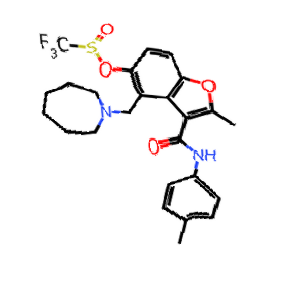 Cc1ccc(NC(=O)c2c(C)oc3ccc(OS(=O)C(F)(F)F)c(CN4CCCCCC4)c23)cc1